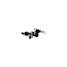 CCOc1ccc(CC(NC(=O)CC)C(=O)NC(Cc2ccccc2)C(=O)NCc2ccc(CN)cc2Cl)cc1